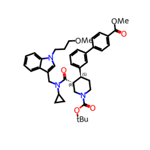 COCCCn1cc(CN(C(=O)[C@H]2CN(C(=O)OC(C)(C)C)CC[C@@H]2c2cccc(-c3ccc(C(=O)OC)cc3)c2)C2CC2)c2ccccc21